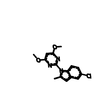 COc1cc(OC)nc(-n2c(C)cc3cc(Cl)ccc32)n1